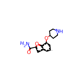 NC(=O)c1cc2c[c]cc(OC3CCNCC3)c2o1